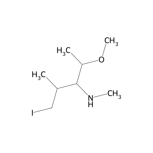 CNC(C(C)CI)C(C)OC